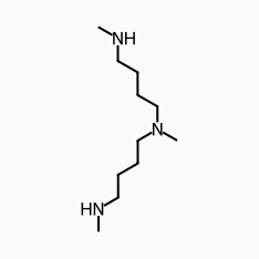 CNCCCCN(C)CCCCNC